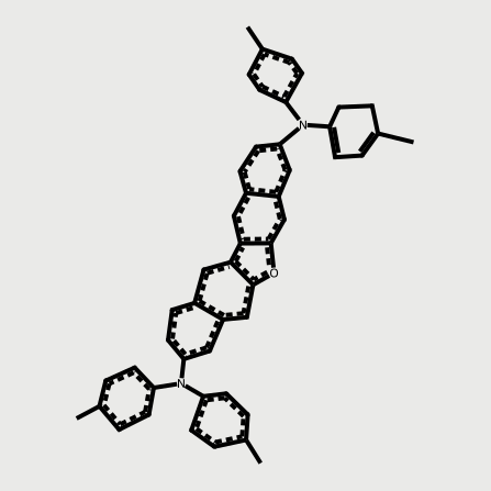 CC1=CC=C(N(c2ccc(C)cc2)c2ccc3cc4c(cc3c2)oc2cc3cc(N(c5ccc(C)cc5)c5ccc(C)cc5)ccc3cc24)CC1